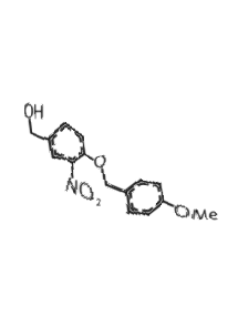 COc1ccc(COc2ccc(CO)cc2[N+](=O)[O-])cc1